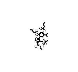 CCCC(=O)Oc1cc(OC(=O)CCC)c(C(C)C)cc1-c1onc(C(=O)NCC)c1-c1noc(C)n1